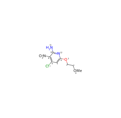 COCCOc1cc(Cl)c([N+](=O)[O-])c(N)n1